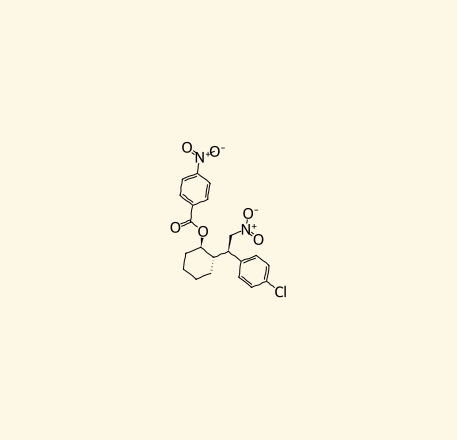 O=C(O[C@@H]1CCCC[C@H]1[C@@H](C[N+](=O)[O-])c1ccc(Cl)cc1)c1ccc([N+](=O)[O-])cc1